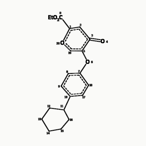 CCOC(=O)c1cc(=O)c(Oc2ccc(C3CCCCC3)cc2)co1